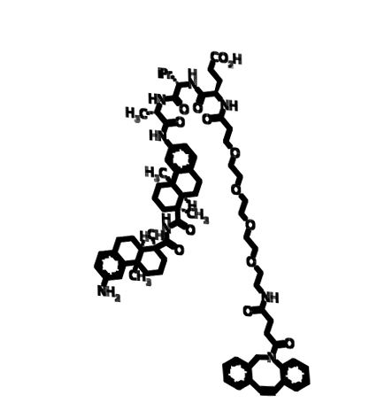 CC(C)[C@H](NC(=O)[C@@H](CCC(=O)O)NC(=O)CCOCCOCCOCCOCCNC(=O)CCC(=O)N1Cc2ccccc2C#Cc2ccccc21)C(=O)N[C@@H](C)C(=O)Nc1ccc2c(c1)[C@@]1(C)CCC[C@](C)(C(=O)NC(=O)[C@@]3(C)CCC[C@]4(C)c5cc(N)ccc5CC[C@@H]34)[C@@H]1CC2